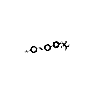 CCC[C@H]1CC[C@H](CC[C@H]2CC[C@H](c3ccc(OC(F)(F)C(F)F)cc3)CC2)CC1